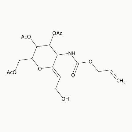 C=CCOC(=O)NC1/C(=C/CO)OC(COC(C)=O)C(OC(C)=O)C1OC(C)=O